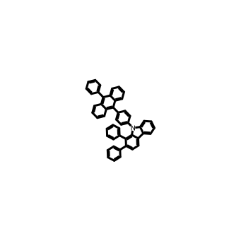 c1ccc(-c2ccc3c4ccccc4n(-c4ccc(-c5c6ccccc6c(-c6ccccc6)c6ccccc56)cc4)c3c2-c2ccccc2)cc1